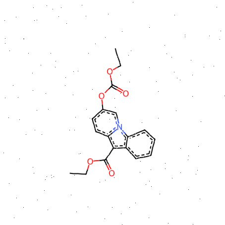 CCOC(=O)Oc1ccc2c(C(=O)OCC)c3ccccc3n2c1